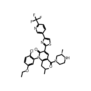 CCOc1ccc(Cl)c(-n2c(CC(C)C)c(C(=O)N3CCN[C@H](C)C3)cc(-c3nc(-c4ccc(C(F)(F)F)nc4)cs3)c2=O)c1